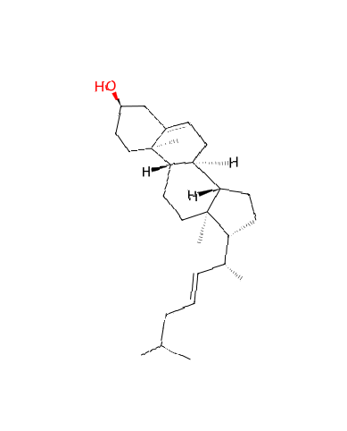 CC(C)C/C=C/[C@@H](C)[C@H]1CC[C@H]2[C@@H]3CC=C4C[C@H](O)CC[C@]4(C)[C@H]3CC[C@]12C